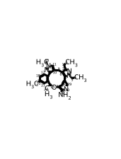 CCc1nn(CC)c2c1Cc1cn(C)nc1-c1ccc(C)cc1C(C)Oc1cc-2cnc1N